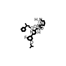 CC(C)COc1cc(F)cc(-c2ccc(C(=O)NS(=O)(=O)c3cccc(N)n3)c(OCCC(C)c3ccccc3)n2)c1